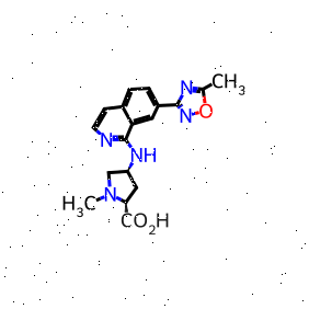 Cc1nc(-c2ccc3ccnc(N[C@H]4C[C@@H](C(=O)O)N(C)C4)c3c2)no1